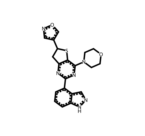 c1cc(-c2nc3c(c(N4CCOCC4)n2)SC(c2cnoc2)C3)c2cn[nH]c2c1